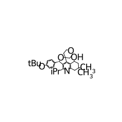 CC(C)c1nc2c(c3c1[C@@H](c1ccc(OC(C)(C)C)cc1)OC31CCOCC1)C(O)CC(C)(C)C2